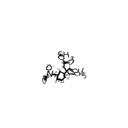 C=CC(CC)(CC(=O)OC)c1cccc([N+](=O)[O-])c1